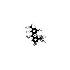 C=C(C)c1cc(C)cc(C(C)c2cc(C)cc(C(C)(C)C)c2O)c1O